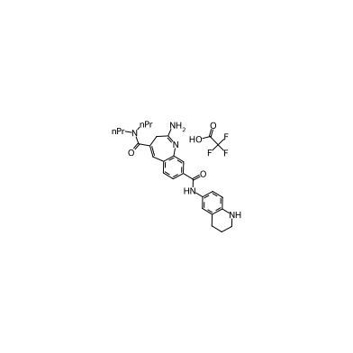 CCCN(CCC)C(=O)C1=Cc2ccc(C(=O)Nc3ccc4c(c3)CCCN4)cc2N=C(N)C1.O=C(O)C(F)(F)F